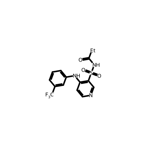 CCC(=O)NS(=O)(=O)c1cnccc1Nc1cccc(C(F)(F)F)c1